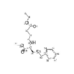 CCOC(=O)CCCN[C@@H](CSCc1ccccc1)C(=O)OC